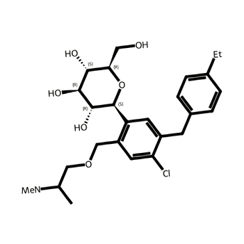 CCc1ccc(Cc2cc([C@@H]3O[C@H](CO)[C@@H](O)[C@H](O)[C@H]3O)c(COCC(C)NC)cc2Cl)cc1